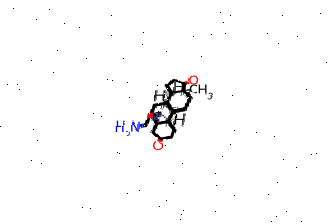 C[C@]12CC[C@H]3[C@@H](CC=C4CC(=O)CC[C@@]43/C=C\CN)[C@@H]1CCC2=O